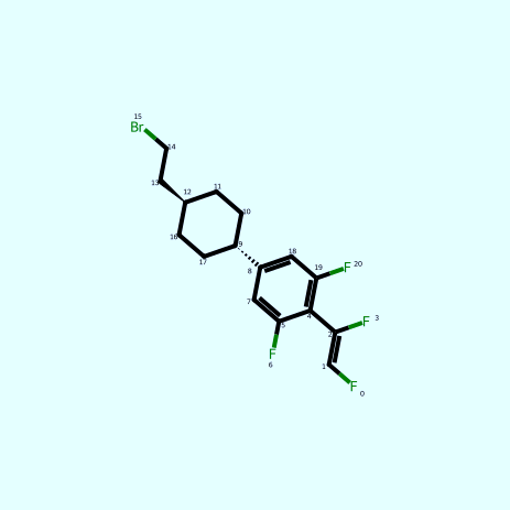 FC=C(F)c1c(F)cc([C@H]2CC[C@H](CCBr)CC2)cc1F